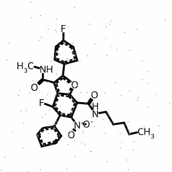 CCCCCNC(=O)c1c([N+](=O)[O-])c(-c2ccccc2)c(F)c2c(C(=O)NC)c(-c3ccc(F)cc3)oc12